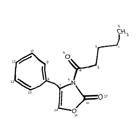 CCCCC(=O)n1c(-c2ccccc2)coc1=O